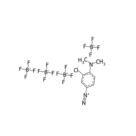 CN(C)c1ccc([N+]#N)cc1Cl.F[B-](F)(F)F.F[B-](F)(F)F.F[B-](F)(F)F.F[B-](F)(F)F